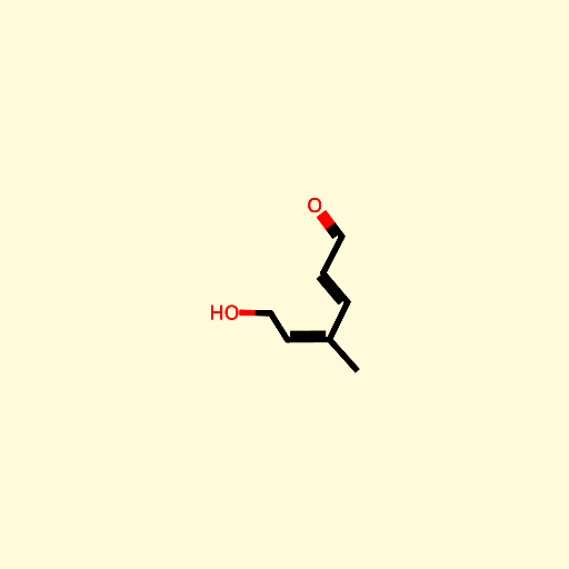 CC(C=CC=O)=CCO